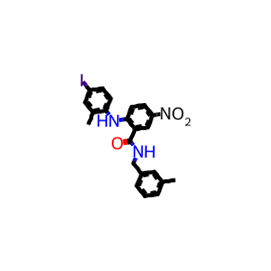 Cc1cccc(CNC(=O)c2cc([N+](=O)[O-])ccc2Nc2ccc(I)cc2C)c1